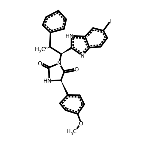 COc1ccc([C@H]2NC(=O)N([C@H](c3nc4ccc(I)cc4[nH]3)[C@H](C)c3ccccc3)C2=O)cc1